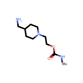 CC(C)(C)NC(=O)OCCN1CCC(CN)CC1